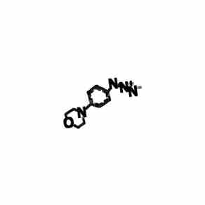 [N-]=[N+]=Nc1ccc(N2CCOCC2)cc1